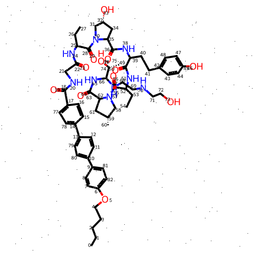 CCCCCOc1ccc(-c2ccc(-c3ccc(C(=O)NCC(=O)NC(CC)C(=O)N4C[C@H](O)CC4C(=O)NC(CCc4ccc(O)cc4)C(=O)NC(CC)C(=O)N4C[C@H](C)CC4C(=O)NC(NCCNCCO)[C@@H](C)O)cc3)cc2)cc1